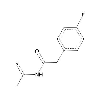 CC(=S)NC(=O)Cc1ccc(F)cc1